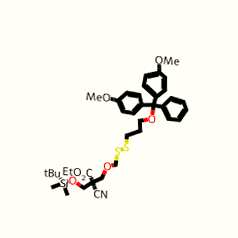 CCOC(=O)C(C#N)(COCSSCCCOC(c1ccccc1)(c1ccc(OC)cc1)c1ccc(OC)cc1)CO[Si](C)(C)C(C)(C)C